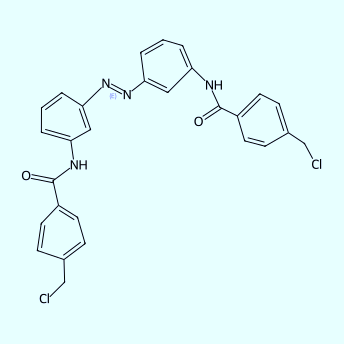 O=C(Nc1cccc(/N=N/c2cccc(NC(=O)c3ccc(CCl)cc3)c2)c1)c1ccc(CCl)cc1